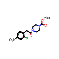 CC(C)(C)OC(=O)N1CCN(C(=O)Cc2ccc([N+](=O)[O-])cc2F)CC1